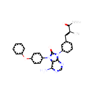 CNC(=O)/C(C#N)=C/c1cccc(-n2c(=O)n(-c3ccc(Oc4ccccc4)cc3)c3c(N)ncnc32)c1